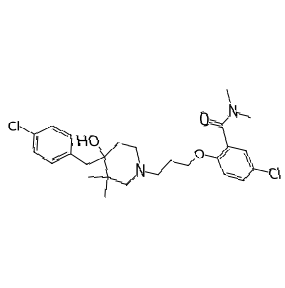 CN(C)C(=O)c1cc(Cl)ccc1OCCCN1CCC(O)(Cc2ccc(Cl)cc2)C(C)(C)C1